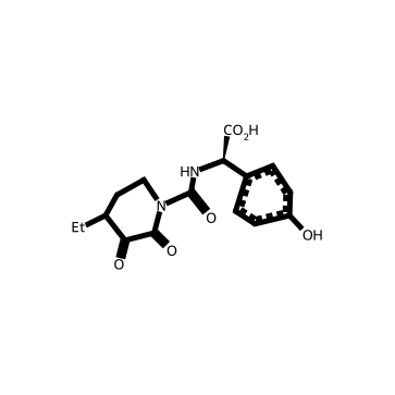 CCC1CCN(C(=O)N[C@@H](C(=O)O)c2ccc(O)cc2)C(=O)C1=O